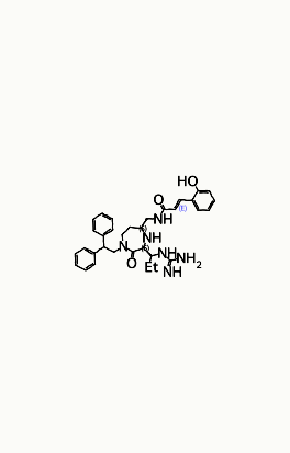 CCC(NC(=N)N)[C@@H]1N[C@H](CNC(=O)/C=C/c2ccccc2O)CCN(CC(c2ccccc2)c2ccccc2)C1=O